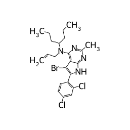 C=CCN(c1nc(C)nc2[nH]c(-c3ccc(Cl)cc3Cl)c(Br)c12)C(CCC)CCC